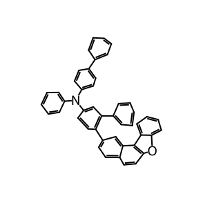 c1ccc(-c2ccc(N(c3ccccc3)c3ccc(-c4ccc5ccc6oc7ccccc7c6c5c4)c(-c4ccccc4)c3)cc2)cc1